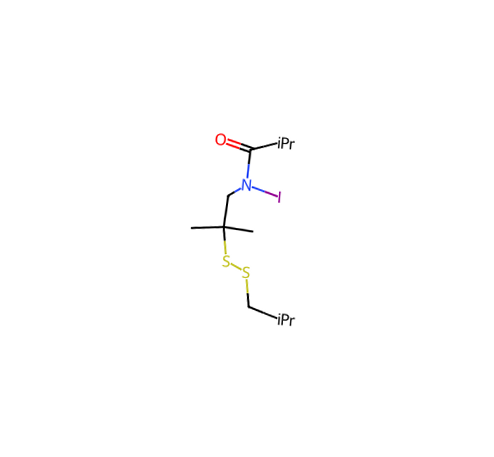 CC(C)CSSC(C)(C)CN(I)C(=O)C(C)C